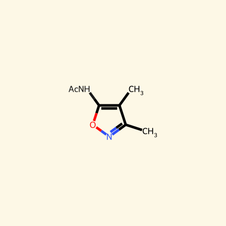 CC(=O)Nc1onc(C)c1C